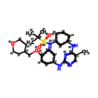 Cc1cnc(Nc2ccc(OCC3CCOCC3)cc2)nc1Nc1cccc(NS(=O)(=O)C(C)(C)C)c1